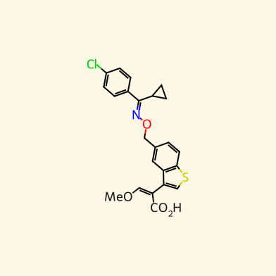 COC=C(C(=O)O)c1csc2ccc(CON=C(c3ccc(Cl)cc3)C3CC3)cc12